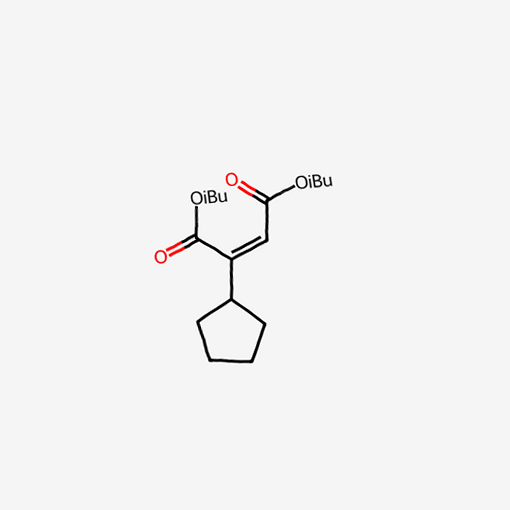 CC(C)COC(=O)/C=C(\C(=O)OCC(C)C)C1CCCC1